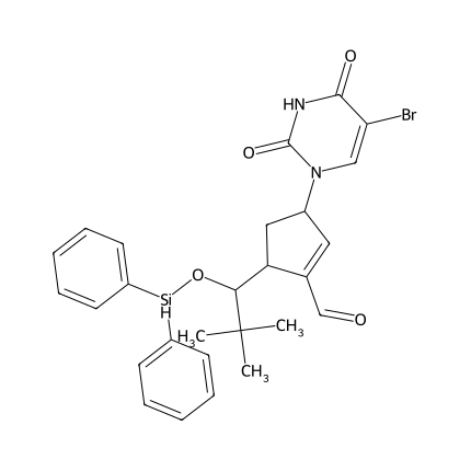 CC(C)(C)C(O[SiH](c1ccccc1)c1ccccc1)C1CC(n2cc(Br)c(=O)[nH]c2=O)C=C1C=O